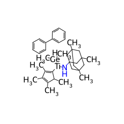 CC1=C(C)C(C)[C]([Ti]([NH]C23CC4(C)CC(C)(CC(C)(C4)C2)C3)[GeH]([CH3])[CH3])=C1C.c1ccc(-c2ccccc2)cc1